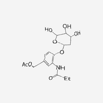 CCC(=O)Nc1cc(COC(C)=O)ccc1OC1CC(O)C(O)C(O)O1